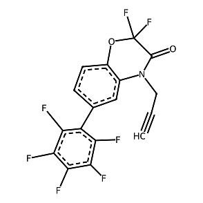 C#CCN1C(=O)C(F)(F)Oc2ccc(-c3c(F)c(F)c(F)c(F)c3F)cc21